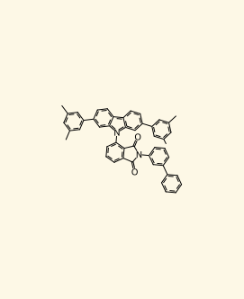 Cc1cc(C)cc(-c2ccc3c4ccc(-c5cc(C)cc(C)c5)cc4n(-c4cccc5c4C(=O)N(c4cccc(-c6ccccc6)c4)C5=O)c3c2)c1